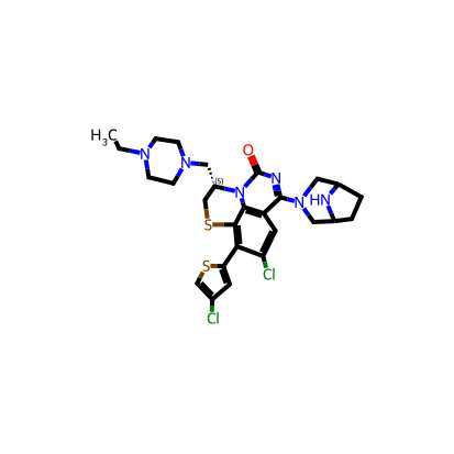 CCN1CCN(C[C@H]2CSc3c(-c4cc(Cl)cs4)c(Cl)cc4c(N5CC6CCC(C5)N6)nc(=O)n2c34)CC1